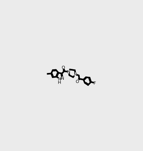 Cc1ccc2c(C(=O)N3CCN(CC(=O)c4ccc(F)cc4)CC3)n[nH]c2c1